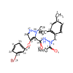 COC(=O)N(Cc1ccc(C)cc1C)NC(=O)c1c(Oc2cccc(Br)c2)cnn1C